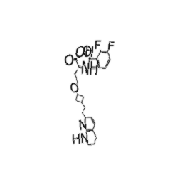 O=C(N[C@@H](CCOC1CC(CCc2ccc3c(n2)NCCC3)C1)C(=O)O)c1cccc(F)c1F